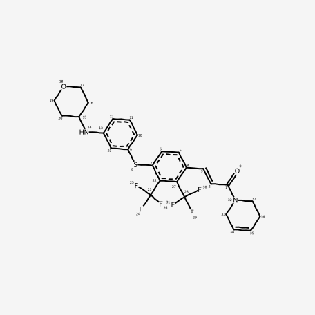 O=C(C=Cc1ccc(Sc2cccc(NC3CCOCC3)c2)c(C(F)(F)F)c1C(F)(F)F)N1CC=CCC1